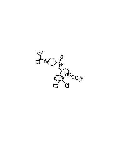 O=C(O)NC[C@@H]1CN(C(=O)C2CCN(C(=O)C3CC3)CC2)C[C@@H]1c1ccc(Cl)c(Cl)c1